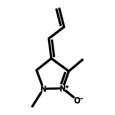 C=CC=C1CN(C)[N+]([O-])=C1C